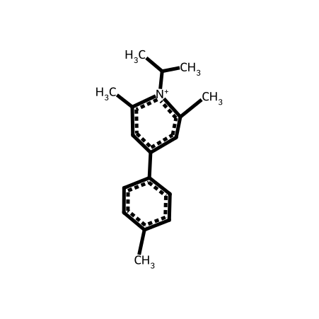 Cc1ccc(-c2cc(C)[n+](C(C)C)c(C)c2)cc1